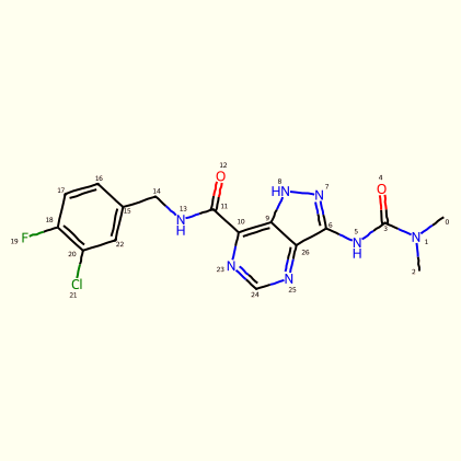 CN(C)C(=O)Nc1n[nH]c2c(C(=O)NCc3ccc(F)c(Cl)c3)ncnc12